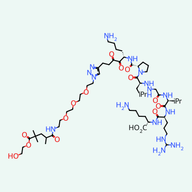 CC(C)C[C@H](NNCC(=O)N[C@H](C(=O)N[C@@H](CCCNC(N)N)C(=O)N[C@@H](CCCCN)C(=O)O)C(C)C)C(=O)N1CCC[C@H]1C(=O)N[C@@H](CCCCN)C(=O)C(=O)CCc1cn(CCOCCOCCOCCNC(=O)C(C)CC(C)(C)C(=O)OCCO)nn1